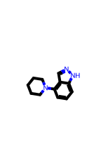 c1cc(N2CCCCC2)c2cn[nH]c2c1